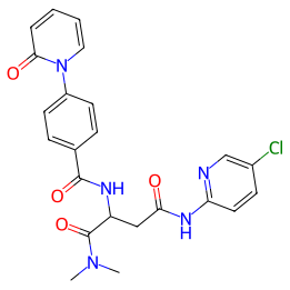 CN(C)C(=O)C(CC(=O)Nc1ccc(Cl)cn1)NC(=O)c1ccc(-n2ccccc2=O)cc1